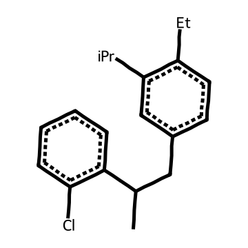 CCc1ccc(CC(C)c2ccccc2Cl)cc1C(C)C